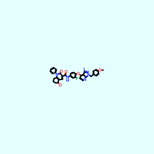 COc1ccc(Cn2nc(I)c3c(Oc4ccc(NC(=O)c5cc6c(n(-c7ccccc7)c5=O)CCCC6=O)cc4F)ccnc32)cc1